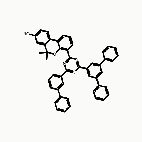 CC1(C)Oc2c(-c3nc(-c4cccc(-c5ccccc5)c4)nc(-c4cc(-c5ccccc5)cc(-c5ccccc5)c4)n3)cccc2-c2ccc(C#N)cc21